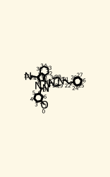 COc1cccc(-c2nc3c(C#N)c4c(c-3n(N3CCN(CCc5ccccc5)CC3)n2)CCCC4)c1